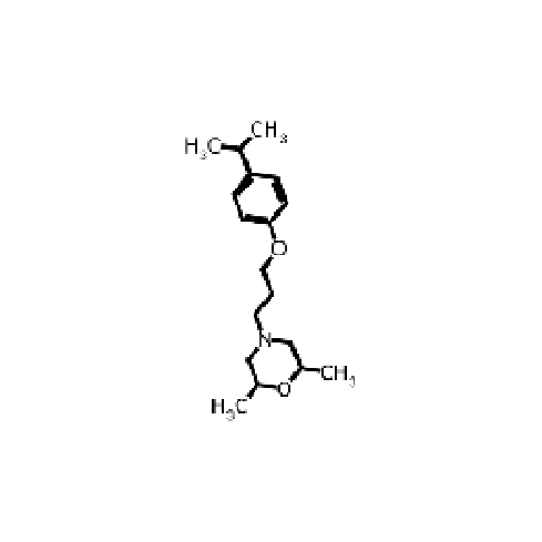 CC1CN(CCCOc2ccc(C(C)C)cc2)CC(C)O1